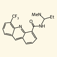 CCC(NC)NC(=O)c1cccc2cc3cccc(C(F)(F)F)c3nc12